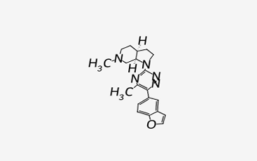 Cc1nc(N2CC[C@@H]3CCN(C)C[C@@H]32)nnc1-c1ccc2occc2c1